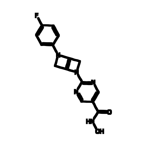 O=C(NO)c1cnc(N2CC3=C2CN3c2ccc(F)cc2)nc1